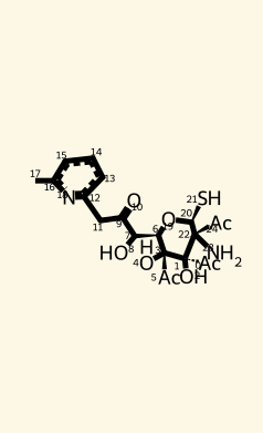 CC(=O)[C@]1(O)[C@@](O)(C(C)=O)[C@@H](C(O)C(=O)Cc2cccc(C)n2)O[C@@H](S)[C@@]1(N)C(C)=O